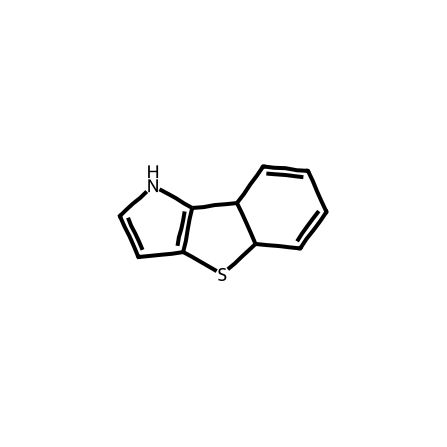 C1=CC2Sc3cc[nH]c3C2C=C1